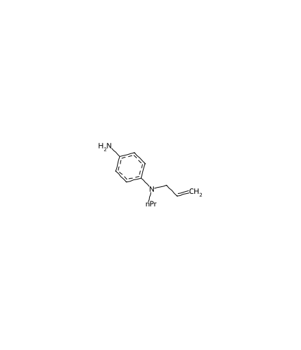 C=CCN(CCC)c1ccc(N)cc1